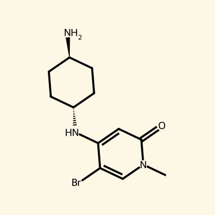 Cn1cc(Br)c(N[C@H]2CC[C@H](N)CC2)cc1=O